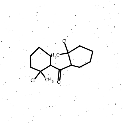 CC1(Cl)CCCCC1C(=O)C1CCCCC1(C)Cl